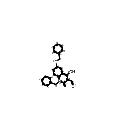 O=Cc1c(O)c2cc(OCc3ccccc3)ccc2n(Cc2ccccc2)c1=O